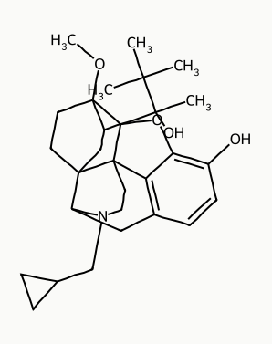 COC12CCC3(CC1C(C)(O)C(C)(C)C)C1Cc4ccc(O)c5c4C3(CCN1CC1CC1)C2O5